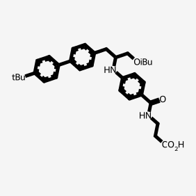 CC(C)COCC(Cc1ccc(-c2ccc(C(C)(C)C)cc2)cc1)Nc1ccc(C(=O)NCCC(=O)O)cc1